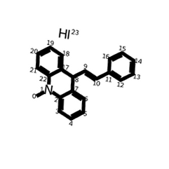 CN1c2ccccc2C(/C=C/c2ccccc2)c2ccccc21.I